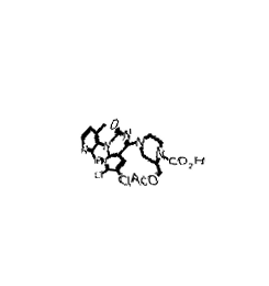 CC(=O)OCC1CN(c2nc(=O)n(-c3c(C)ccnc3C(C)C)c3nc(Cl)c(Cl)cc23)CCN1C(=O)O